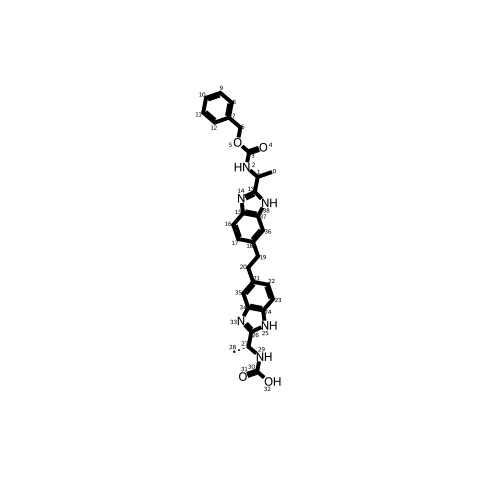 CC(NC(=O)OCc1ccccc1)c1nc2ccc(CCc3ccc4[nH]c([C@@H](C)NC(=O)O)nc4c3)cc2[nH]1